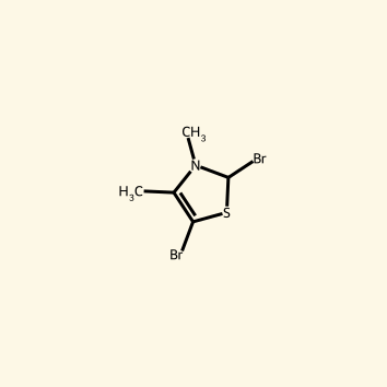 CC1=C(Br)SC(Br)N1C